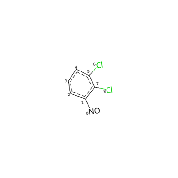 O=Nc1cccc(Cl)c1Cl